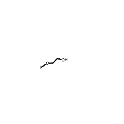 OCCOI